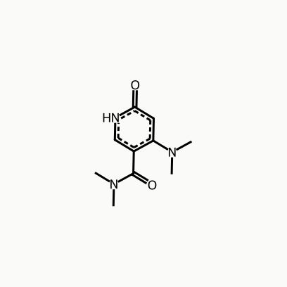 CN(C)C(=O)c1c[nH]c(=O)cc1N(C)C